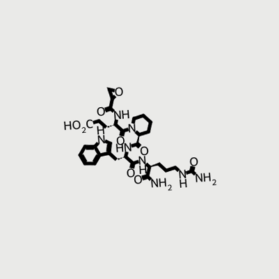 NC(=O)NCCC[C@H](NC(=O)[C@H](Cc1c[nH]c2ccccc12)NC(=O)[C@@H]1CCCCN1C(=O)[C@H](CCC(=O)O)NC(=O)C1CO1)C(N)=O